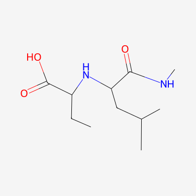 CCC(NC(CC(C)C)C(=O)NC)C(=O)O